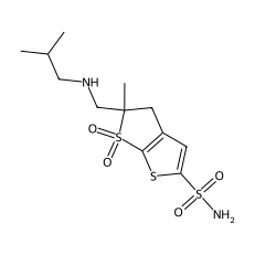 CC(C)CNCC1(C)Cc2cc(S(N)(=O)=O)sc2S1(=O)=O